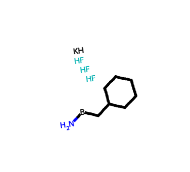 F.F.F.N[B]CC1CCCCC1.[KH]